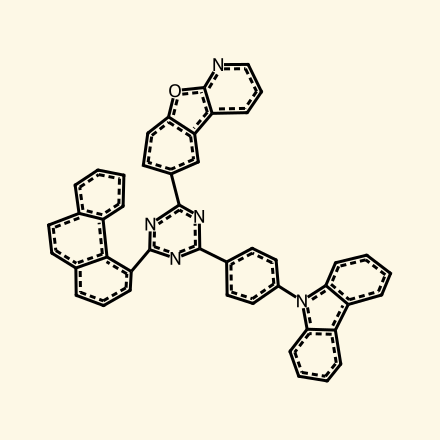 c1ccc2c(c1)ccc1cccc(-c3nc(-c4ccc(-n5c6ccccc6c6ccccc65)cc4)nc(-c4ccc5oc6ncccc6c5c4)n3)c12